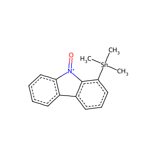 [CH3][Sn]([CH3])([CH3])[c]1cccc2c1[N+](=O)c1ccccc1-2